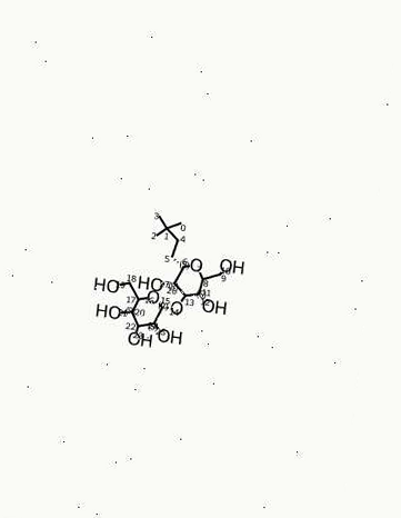 CC(C)(C)CC[C@@H]1OC(CO)[C@H](O)C(O[C@H]2OC(CO)[C@H](O)C(O)[C@@H]2O)[C@@H]1O